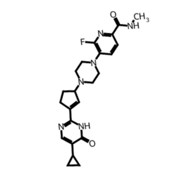 CNC(=O)c1ccc(N2CCN(C3C=C(c4ncc(C5CC5)c(=O)[nH]4)CC3)CC2)c(F)n1